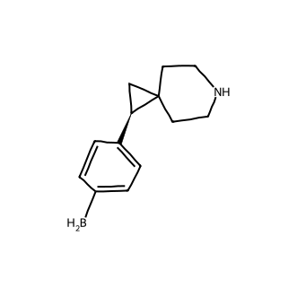 Bc1ccc([C@H]2CC23CCNCC3)cc1